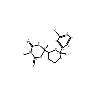 CN1C(=N)N[C@](C)(C2CCC[N+]([O-])(c3ccnc(Br)c3)C2)CC1=O